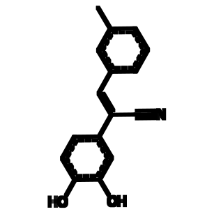 Cc1cccc(/C=C(\C#N)c2ccc(O)c(O)c2)c1